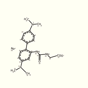 CN(C)c1ccc(-c2ccc(N(C)C)cc2NC(=O)NCC(=O)[O-])cc1.[Na+]